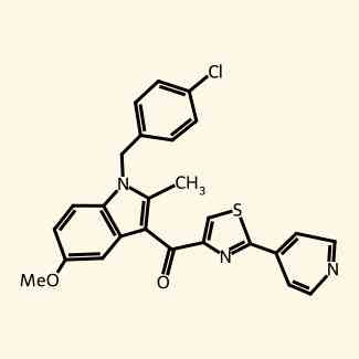 COc1ccc2c(c1)c(C(=O)c1csc(-c3ccncc3)n1)c(C)n2Cc1ccc(Cl)cc1